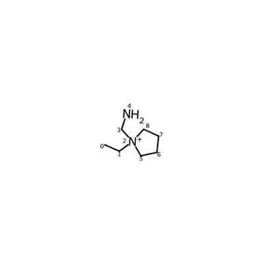 CC[N+]1(CN)CCCC1